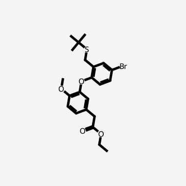 CCOC(=O)Cc1ccc(OC)c(Oc2ccc(Br)cc2CSC(C)(C)C)c1